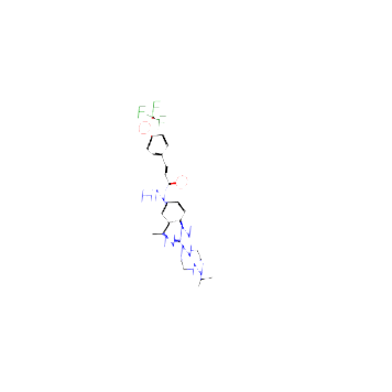 Cc1nc(N2CCN(C(C)C)CC2)nc2ccc(NC(=O)C=Cc3ccc(OC(F)(F)F)cc3)cc12